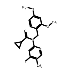 COc1ccc(CN(C(=O)C2CC2)c2cc(I)c(C)cn2)c(OC)c1